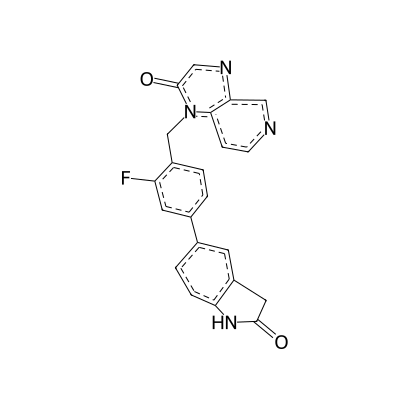 O=C1Cc2cc(-c3ccc(Cn4c(=O)cnc5cnccc54)c(F)c3)ccc2N1